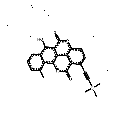 Cc1cccc2c(O)c3c(=O)oc4ccc(C#C[Si](C)(C)C)c5c(=O)oc(c12)c3c45